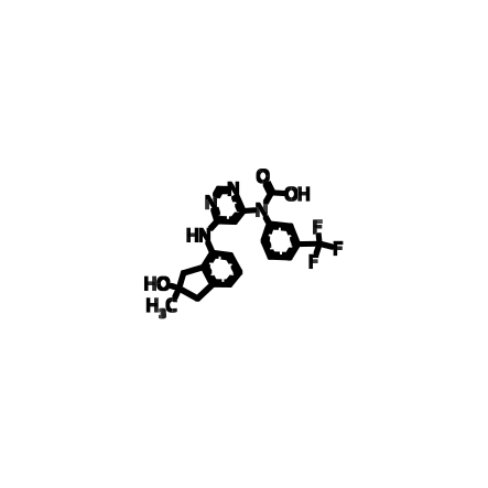 CC1(O)Cc2cccc(Nc3cc(N(C(=O)O)c4cccc(C(F)(F)F)c4)ncn3)c2C1